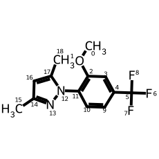 COc1cc(C(F)(F)F)ccc1-n1nc(C)cc1C